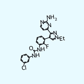 CCn1cc(-c2cccc(NC(=O)Nc3cccc(Cl)c3)c2F)c(-c2ccnc(N)n2)n1